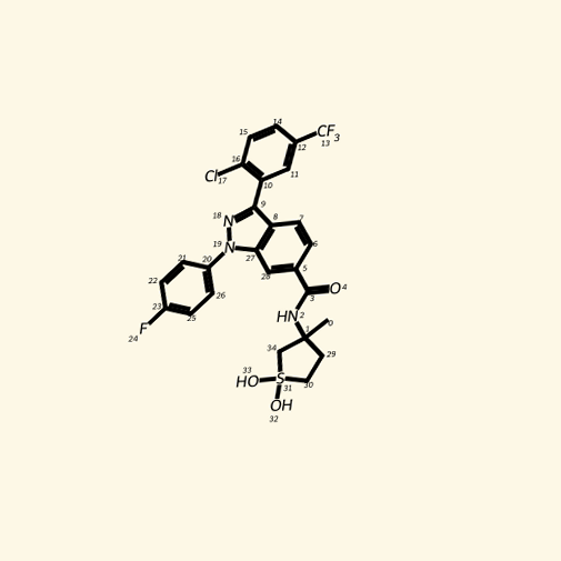 CC1(NC(=O)c2ccc3c(-c4cc(C(F)(F)F)ccc4Cl)nn(-c4ccc(F)cc4)c3c2)CCS(O)(O)C1